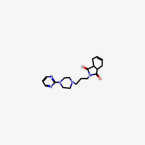 O=C1C2CC=CCC2C(=O)N1CCCN1CCN(c2ncccn2)CC1